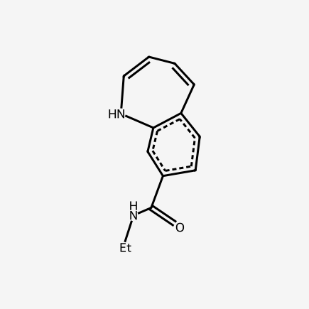 CCNC(=O)c1ccc2c(c1)NC=CC=C2